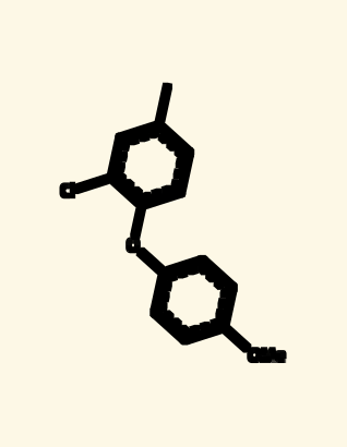 COc1ccc(Oc2ccc(C)cc2Cl)cc1